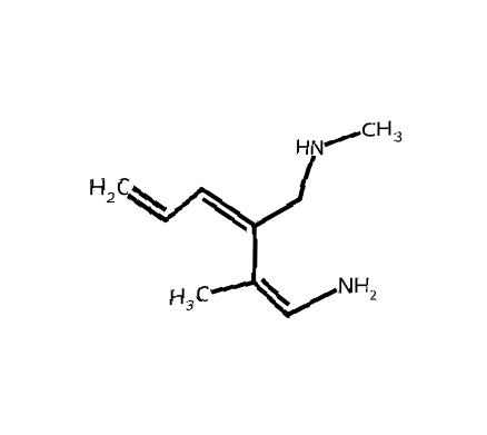 C=C/C=C(CNC)\C(C)=C/N